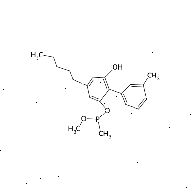 CCCCCc1cc(O)c(-c2cccc(C)c2)c(OP(C)OC)c1